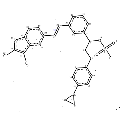 CS(=O)(=O)OC(CCc1ccc(C2CC2)cc1)c1cccc(/C=C/c2ccc3sc(Cl)c(Cl)c3n2)c1